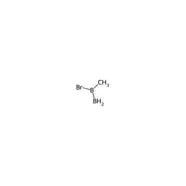 BB(C)Br